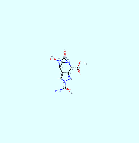 COC(=O)C1c2nn(C(N)=O)cc2C2CN1C(=O)N2O